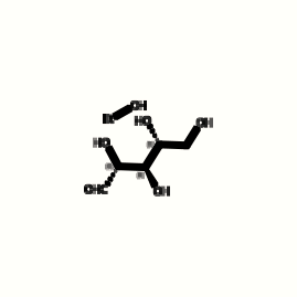 CCO.O=C[C@H](O)[C@H](O)[C@H](O)CO